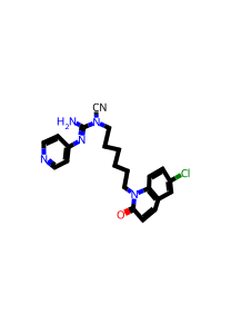 N#CN(CCCCCCn1c(=O)ccc2cc(Cl)ccc21)C(N)=Nc1ccncc1